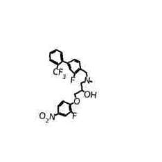 CN(Cc1ccc(-c2ccccc2C(F)(F)F)cc1F)CC(O)COc1ccc([N+](=O)[O-])cc1F